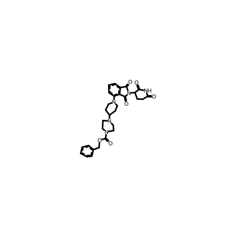 O=C1CCC(N2C(=O)c3cccc(N4CCC(N5CCN(C(=O)OCc6ccccc6)CC5)CC4)c3C2=O)C(=O)N1